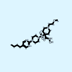 CCCCc1cnc(N2CCN(S(=O)(=O)C3(C(=O)NO)CCN(CCOC)CC3)CC2)nc1